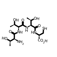 C[C@@H](O)[C@H](N)C(=O)N[C@H](C(=O)N[C@H](C(=O)N[C@@H](CS)C(=O)O)[C@@H](C)O)[C@@H](C)O